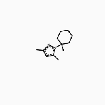 Cc1cc(C)n(C2(C)CCCCC2)n1